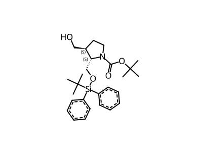 CC(C)(C)OC(=O)N1CC[C@H](CO)[C@H]1CO[Si](c1ccccc1)(c1ccccc1)C(C)(C)C